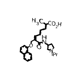 CC(CCCC=C(COc1cccc2ccccc12)C(=O)NC1CCN(C(C)C)C1)C(=O)O